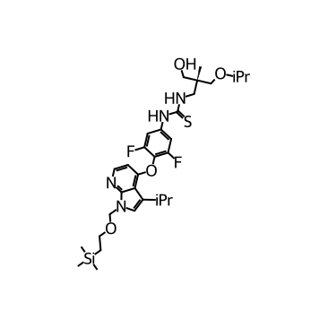 CC(C)OC[C@@](C)(CO)CNC(=S)Nc1cc(F)c(Oc2ccnc3c2c(C(C)C)cn3COCC[Si](C)(C)C)c(F)c1